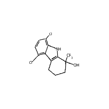 OC1(C(F)(F)F)CCCc2c1[nH]c1c(Cl)ccc(Cl)c21